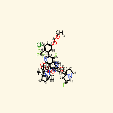 COCOc1cc(Cl)c(C(F)(F)F)c(-c2nc3c4c(nc(OC[C@@]56CCCN5C[C@@H](F)C6)nc4c2F)N2C[C@H]4CC[C@@H]([C@@H]2CO3)N4C(=O)OC(C)(C)C)c1